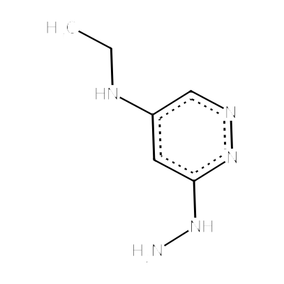 CCNc1cnnc(NN)c1